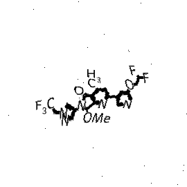 CO[C@@H]1c2nc(-c3cncc(OCC(F)F)c3)cc(C)c2C(=O)N1c1cnn(CC(F)(F)F)c1